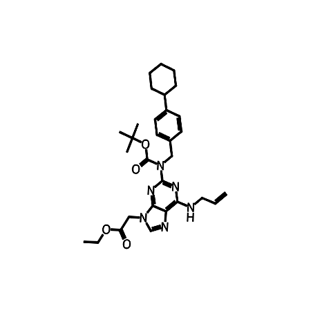 C=CCNc1nc(N(Cc2ccc(C3CCCCC3)cc2)C(=O)OC(C)(C)C)nc2c1ncn2CC(=O)OCC